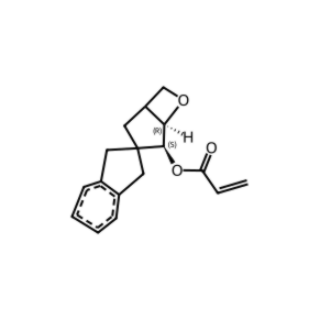 C=CC(=O)O[C@@H]1[C@@H]2OCC2CC12Cc1ccccc1C2